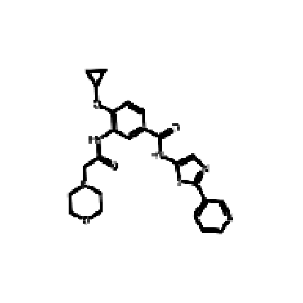 O=C(CN1CCOCC1)Nc1cc(C(=O)Nc2cnc(-c3cccnc3)s2)ccc1OC1CC1